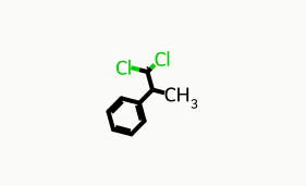 CC([C](Cl)Cl)c1ccccc1